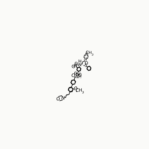 COc1cc(CCCN2CCOCC2)ccc1-c1ccc(C(=O)NS(=O)(=O)c2ccc(N[C@@H](CSc3ccccc3)CC(=O)N3CCN(C)CC3)c([N+](=O)[O-])c2)cc1